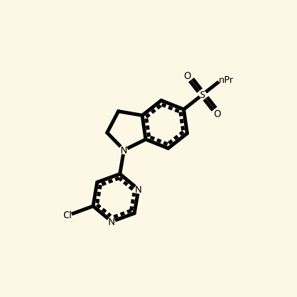 CCCS(=O)(=O)c1ccc2c(c1)CCN2c1cc(Cl)ncn1